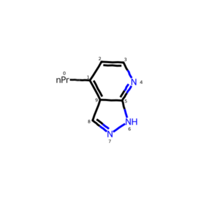 CCCc1ccnc2[nH]ncc12